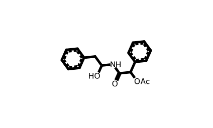 CC(=O)OC(C(=O)NC(O)Cc1ccccc1)c1ccccc1